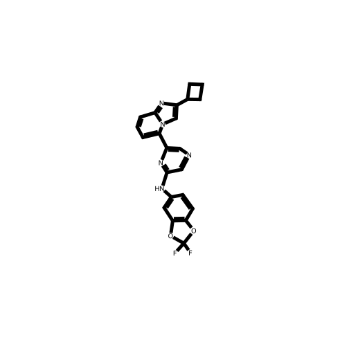 FC1(F)Oc2ccc(Nc3cncc(-c4cccc5nc(C6CCC6)cn45)n3)cc2O1